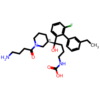 CCc1cccc(-c2c(F)cccc2C(O)(CCCNC(=O)O)[C@@H]2CCCN(C(=O)CCCN)C2)c1